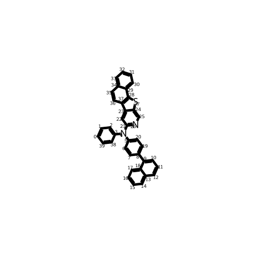 c1ccc(N(c2ccc(-c3cccc4ccccc34)cc2)c2cc3c(cn2)sc2c4ccccc4ccc32)cc1